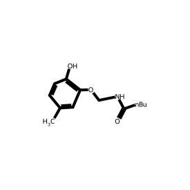 CCCCC(=O)NCOc1cc(C)ccc1O